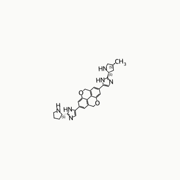 C[C@@H]1CN[C@H](c2ncc(-c3cc4c5c(c3)OCc3cc(-c6cnc([C@@H]7CCCN7)[nH]6)cc(c3-5)OC4)[nH]2)C1